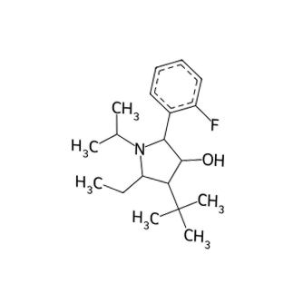 CCC1C(C(C)(C)C)C(O)C(c2ccccc2F)N1C(C)C